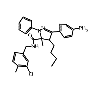 CCCCC1C(c2ccc(P)cc2)=NN(c2ccccc2)C1(C)C(=O)NCc1ccc(C)c(Cl)c1